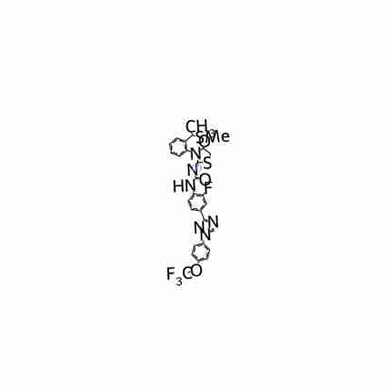 CSC(C)c1ccccc1N1C(=O)CS/C1=N\C(=O)Nc1ccc(-c2ncn(-c3ccc(OC(F)(F)F)cc3)n2)cc1F